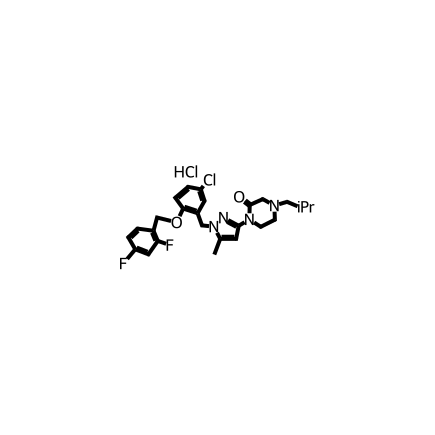 Cc1cc(N2CCN(CC(C)C)CC2=O)nn1Cc1cc(Cl)ccc1OCc1ccc(F)cc1F.Cl